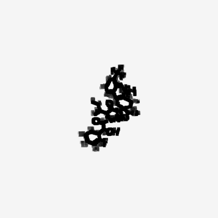 CCC(C)[C@H](NC(=O)C(O)c1ccccc1F)C(=O)N[C@]1(C(=O)O)CCc2[nH]c3c(C(F)(F)F)cccc3c2C1